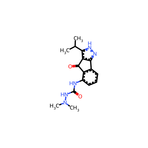 CC(C)c1[nH]nc2c1C(=O)c1c(NC(=O)NN(C)C)cccc1-2